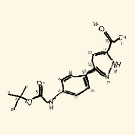 CC(C)(C)OC(=O)Nc1ccc(-c2cc(C(=O)O)[nH]n2)cc1